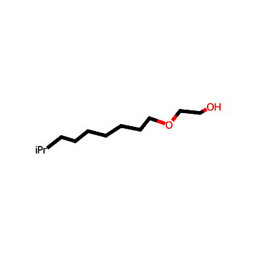 CC(C)CCCCCCCOCCO